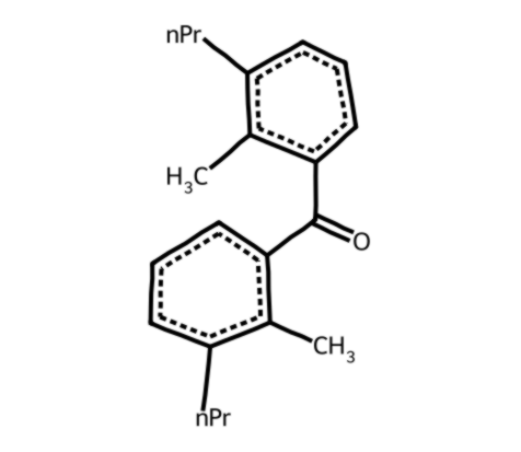 CCCc1cccc(C(=O)c2cccc(CCC)c2C)c1C